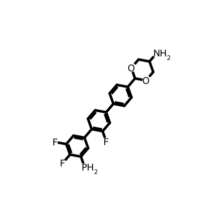 NC1COC(c2ccc(-c3ccc(-c4cc(F)c(F)c(P)c4)c(F)c3)cc2)OC1